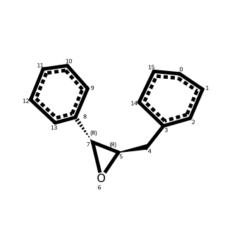 c1ccc(C[C@H]2O[C@@H]2c2ccccc2)cc1